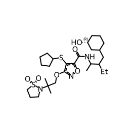 CCC(CC1CCC[C@@H](O)C1)C(C)NC(=O)c1onc(OCC(C)(C)N2CCCS2(=O)=O)c1SC1CCCC1